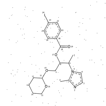 Cc1nccn1C(C)C(COC1CCCCO1)OC(=O)c1ccc(I)cc1